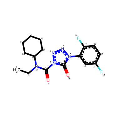 CCN(C(=O)n1nnn(-c2cc(F)ccc2F)c1=O)C1CCCCC1